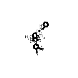 CC12C[C@@H](OC(=O)NCc3ccccc3)C(C)(O1)[C@@H]1C(=O)N(c3ccc(C#N)c(C(F)(F)F)c3)C(=O)[C@@H]12